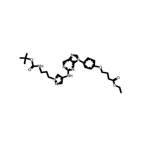 CCOC(=O)CCCOc1ccc(-n2cnc3cnc(Nc4cnn(CCCNC(=O)OC(C)(C)C)c4)nc32)cc1